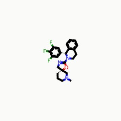 CN1CCC[C@@]2(CN=C(N3CCc4ccccc4[C@H]3c3cc(F)c(F)c(F)c3)O2)C1